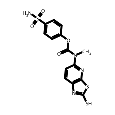 CN(C(=O)Oc1ccc(S(N)(=O)=O)cc1)c1ccc2nc(S)sc2n1